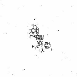 CC[C@H](c1cc(S(=O)(=O)NC(=O)Nc2c3c(cc4c2CCC4)CCC3)nn1C)N(C)C